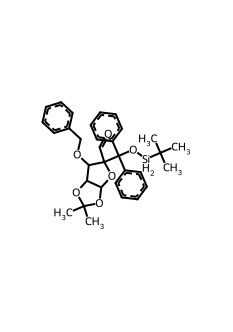 CC1(C)OC2OC(C=O)(C(O[SiH2]C(C)(C)C)(c3ccccc3)c3ccccc3)C(OCc3ccccc3)C2O1